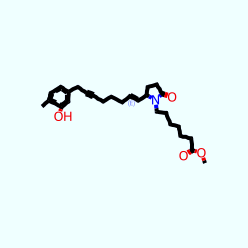 COC(=O)CCCCCCN1C(=O)CCC1/C=C/CCCC#CCc1ccc(C)c(O)c1